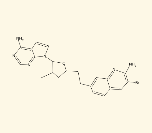 CC1CC(CCc2ccc3cc(Br)c(N)nc3c2)OC1n1ccc2c(N)ncnc21